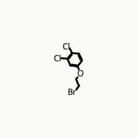 Clc1ccc(OCCBr)cc1Cl